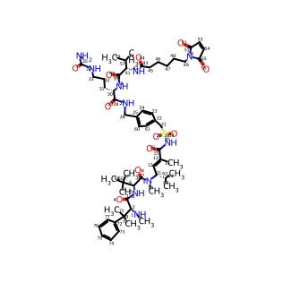 CN[C@H](C(=O)N[C@H](C(=O)N(C)[C@H](/C=C(\C)C(=O)NS(=O)(=O)Cc1ccc(CNC(=O)[C@H](CCCNC(N)=O)NC(=O)[C@@H](NC(=O)CCCCCN2C(=O)C=CC2=O)C(C)C)cc1)C(C)C)C(C)(C)C)C(C)(C)c1ccccc1